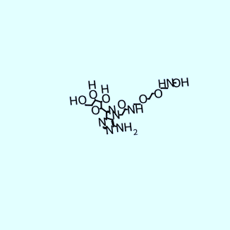 Nc1ncnc2c(C3OC(CO)C(O)C3O)nn(CC(=O)NCCOCCOCCNO)c12